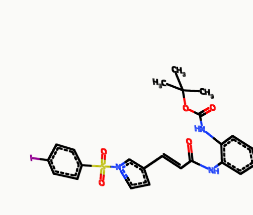 CC(C)(C)OC(=O)Nc1ccccc1NC(=O)C=Cc1ccn(S(=O)(=O)c2ccc(I)cc2)c1